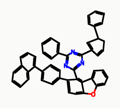 C1=CC(c2nc(-c3ccccc3)nc(-c3c(-c4ccc(-c5cccc6ccccc56)cc4)ccc4oc5ccccc5c34)n2)=CC(c2ccccc2)C1